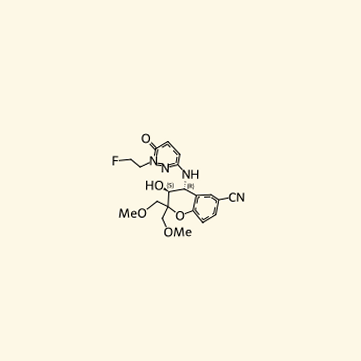 COCC1(COC)Oc2ccc(C#N)cc2[C@@H](Nc2ccc(=O)n(CCF)n2)[C@@H]1O